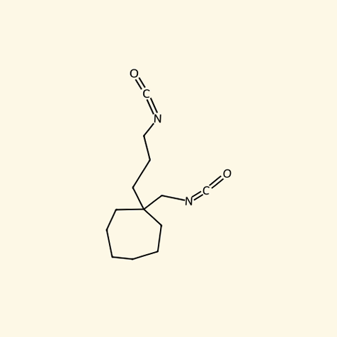 O=C=NCCCC1(CN=C=O)CCCCCC1